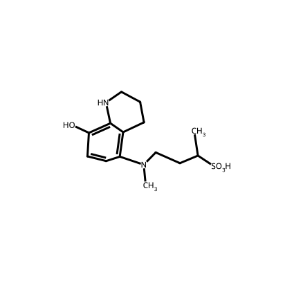 CC(CCN(C)c1ccc(O)c2c1CCCN2)S(=O)(=O)O